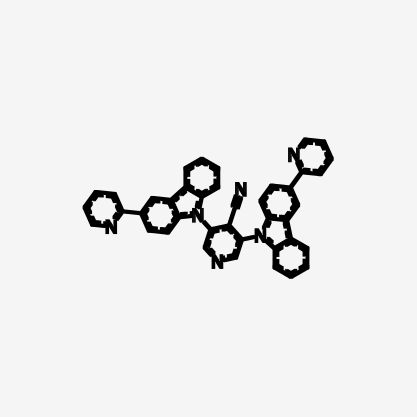 N#Cc1c(-n2c3ccccc3c3cc(-c4ccccn4)ccc32)cncc1-n1c2ccccc2c2cc(-c3ccccn3)ccc21